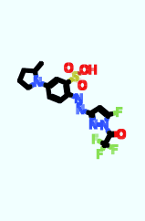 CC1CCCN1c1ccc(N=Nc2cc(F)n(C(=O)C(F)(F)F)n2)c(S(=O)(=O)O)c1